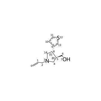 C=CCN1C[C@H](CO)[C@@H](c2ccsc2)C1